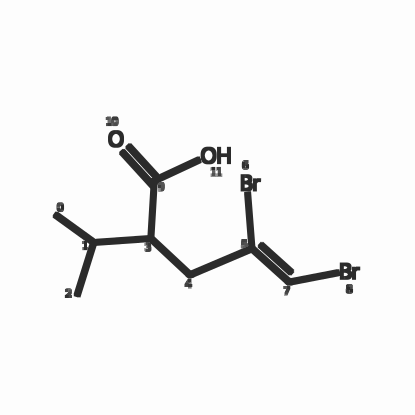 CC(C)C(CC(Br)=CBr)C(=O)O